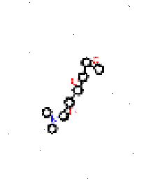 c1ccc(N(c2ccccc2)c2ccc3oc4cc(-c5ccc6c(c5)oc5cc(-c7cccc8oc9ccccc9c78)ccc56)ccc4c3c2)cc1